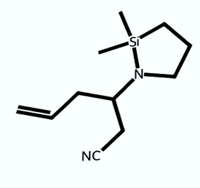 C=CCC(CC#N)N1CCC[Si]1(C)C